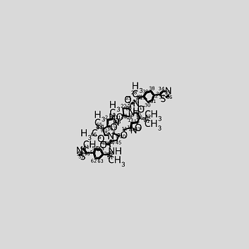 Cc1cc([C@H](C(=O)N2C[C@H](OCc3cc([C@H](C(=O)N4C[C@H](O)C[C@H]4C(=O)N[C@@H](C)c4ccc(-c5cncs5)cc4)C(C)C)on3)C[C@H]2C(=O)N[C@@H](C)c2ccc(-c3scnc3C)cc2)C(C)C)on1